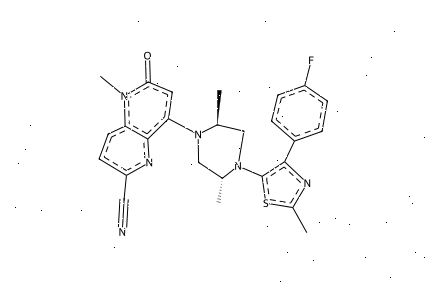 Cc1nc(-c2ccc(F)cc2)c(N2C[C@H](C)N(c3cc(=O)n(C)c4ccc(C#N)nc34)C[C@H]2C)s1